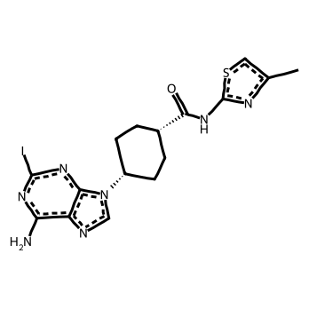 Cc1csc(NC(=O)[C@H]2CC[C@@H](n3cnc4c(N)nc(I)nc43)CC2)n1